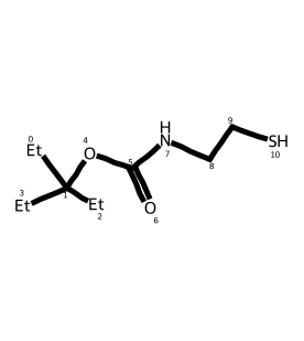 CCC(CC)(CC)OC(=O)NCCS